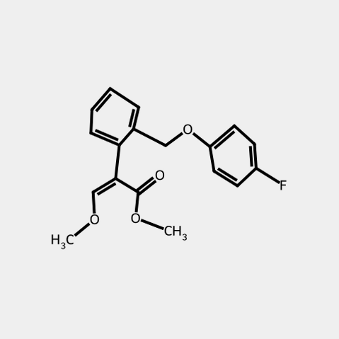 CO/C=C(\C(=O)OC)c1ccccc1COc1ccc(F)cc1